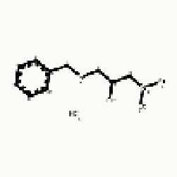 CCN(CC)CC(O)CSCc1ccccc1.Cl